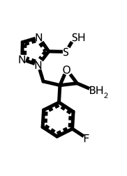 BC1OC1(Cn1ncnc1SS)c1cccc(F)c1